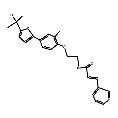 CC(C)(O)c1ccc(-c2ccc(OCCNC(=O)C=Cc3cccnc3)c(Cl)c2)s1